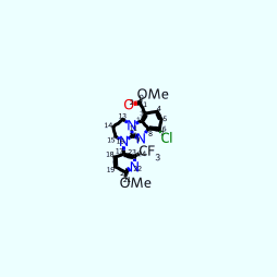 COC(=O)c1ccc(Cl)c2nc3n(c12)CCCN3c1ccc(OC)nc1C(F)(F)F